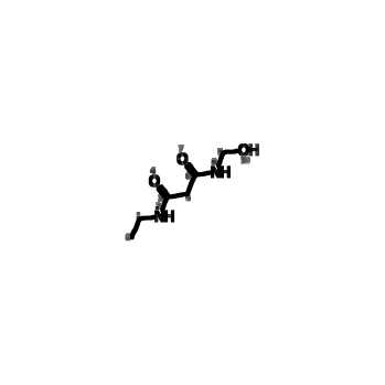 CCNC(=O)CC(=O)NCO